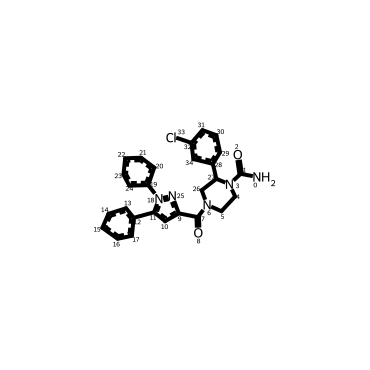 NC(=O)N1CCN(C(=O)c2cc(-c3ccccc3)n(-c3ccccc3)n2)CC1c1cccc(Cl)c1